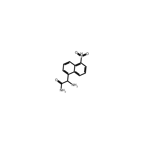 NC(=O)C(N)c1cccc2c([SH](=O)=O)cccc12